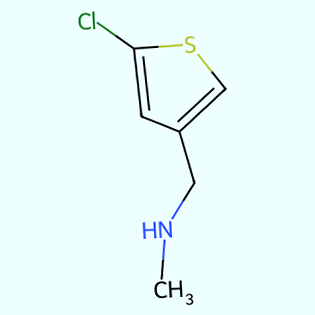 CNCc1csc(Cl)c1